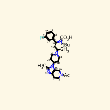 CC(=O)N1CCc2nc(C)n(C3CCN(C(C)C[C@@H](c4cccc(F)c4)N(C(=O)O)C(C)(C)C)CC3)c2C1